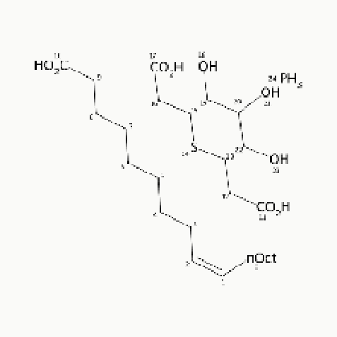 CCCCCCCC/C=C\CCCCCCCC(=O)O.O=C(O)CCSCCC(=O)O.OCC(O)CO.P